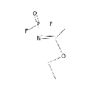 CCOC(C)=NP(=O)(F)F